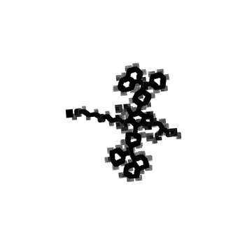 CCCCOCCNNc1c(N)c(-c2ccc(N(c3ccccc3)c3cccc4ccccc34)cc2)c2nn(CC(C)C)nc2c1-c1ccc(N(c2ccccc2)c2cccc3ccccc23)cc1